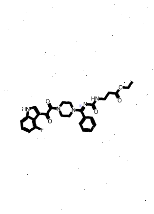 CCOC(=O)CCNC(=O)/N=C(\c1ccccc1)N1CCN(C(=O)C(=O)c2c[nH]c3cccc(F)c23)CC1